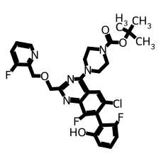 CC(C)(C)OC(=O)N1CCN(c2nc(COCc3ncccc3F)nc3c(F)c(-c4c(O)cccc4F)c(Cl)cc23)CC1